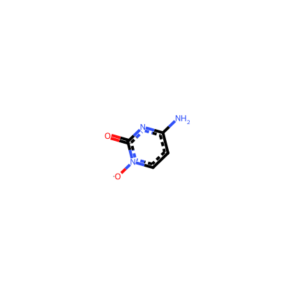 Nc1ccn([O])c(=O)n1